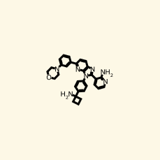 Nc1ncccc1-c1nc2ccc(-c3cccc(N4CCOCC4)c3)nc2n1-c1ccc(C2(N)CCC2)cc1